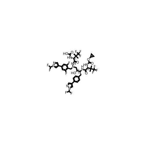 CC(C)([C@H](NC(=O)O)C(=O)NN(Cc1c(F)cc(-c2cnn(C(F)F)c2)cc1F)C[C@H](O)[C@H](Cc1ccc(-c2cnn(C(F)F)c2)cc1)NC(=O)[C@@H](NC(=O)OC1CC1)C(C)(C)C(F)(F)F)C(F)(F)F